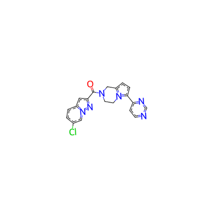 O=C(c1cc2ccc(Cl)cn2n1)N1CCn2c(ccc2-c2ccncn2)C1